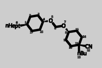 CCCCCCC[C@H]1CC[C@H](OCO[C@H]2CC[C@@](C#N)(CCCC)CC2)CC1